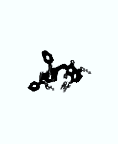 Cc1ccc(C)c2c1C(=O)C(=Cc1nc3c(nc(-c4ccccc4)n3C)n1-c1ccccc1)C2=O